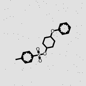 Cc1ccc(S(=O)(=O)OC2CCC(Oc3ccccc3)CC2)cc1